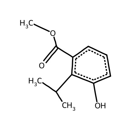 COC(=O)c1cccc(O)c1C(C)C